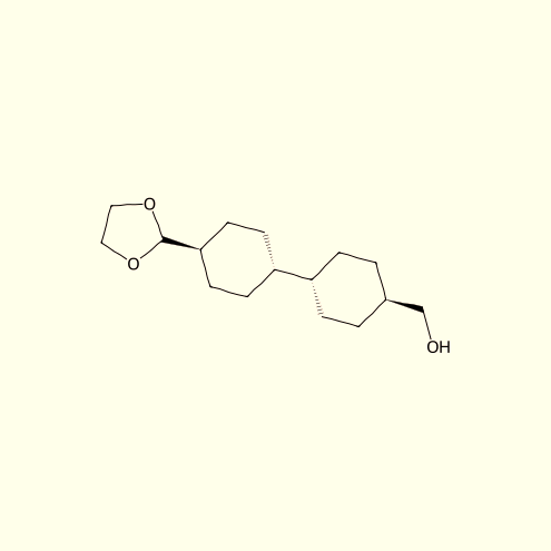 OC[C@H]1CC[C@H]([C@H]2CC[C@H](C3OCCO3)CC2)CC1